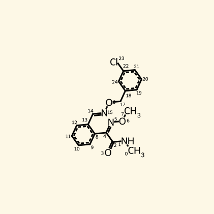 CNC(=O)C(=NOC)c1ccccc1C=NOCc1cccc(Cl)c1